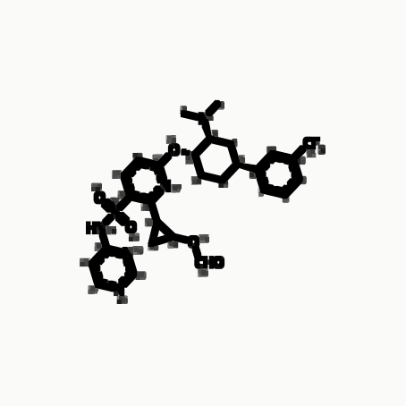 CN(C)[C@H]1C[C@@H](c2cccc(C(F)(F)F)c2)CC[C@@H]1Oc1ccc(S(=O)(=O)Nc2ccncn2)c(C2CC2OC=O)n1